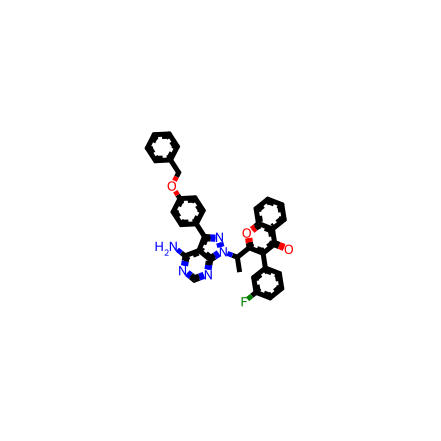 CC(c1oc2ccccc2c(=O)c1-c1cccc(F)c1)n1nc(-c2ccc(OCc3ccccc3)cc2)c2c(N)ncnc21